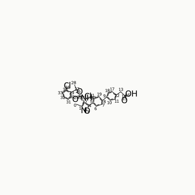 Cc1noc(-c2ccc(-c3ccc(CC(=O)O)cc3)cc2Cl)c1NC(=O)OC(C)c1ccccc1Cl